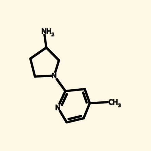 Cc1ccnc(N2CCC(N)C2)c1